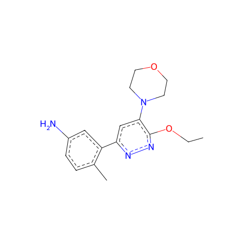 CCOc1nnc(-c2cc(N)ccc2C)cc1N1CCOCC1